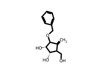 C=C1C(OCc2ccccc2)[C@@H](O)[C@@H](O)C1CO